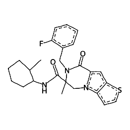 CC1CCCCC1NC(=O)C1(C)Cn2c(cc3sccc32)C(=O)N1Cc1ccccc1F